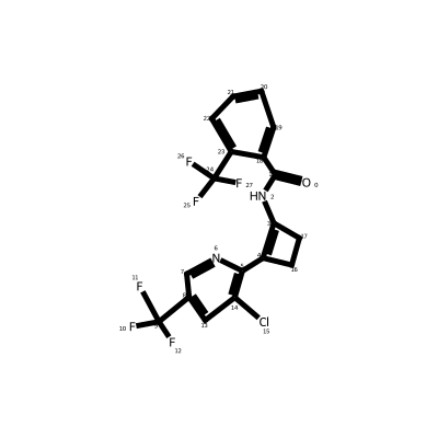 O=C(NC1=C(c2ncc(C(F)(F)F)cc2Cl)CC1)c1ccccc1C(F)(F)F